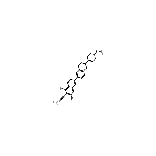 CC1CC=C(C2CCc3cc(-c4ccc5c(F)c(C#CC(F)(F)F)c(F)cc5c4)ccc3C2)CC1